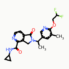 Cc1cc(C(C)N2Cc3c(ccnc3C(=O)NC3CC3)C2=O)cnc1OCC(F)F